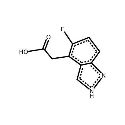 O=C(O)Cc1c(F)ccc2n[nH]cc12